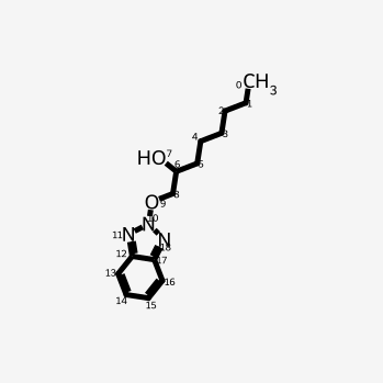 CCCCCCC(O)COn1nc2ccccc2n1